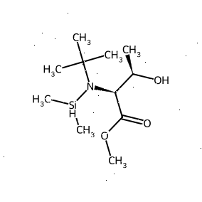 COC(=O)[C@H]([C@@H](C)O)N([SiH](C)C)C(C)(C)C